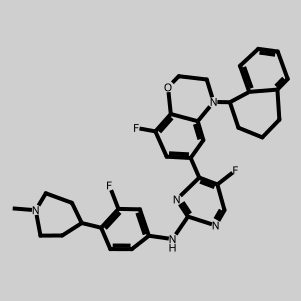 CN1CCC(c2ccc(Nc3ncc(F)c(-c4cc(F)c5c(c4)N(C4CCCc6ccccc64)CCO5)n3)cc2F)CC1